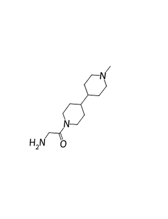 CN1CCC(C2CCN(C(=O)CN)CC2)CC1